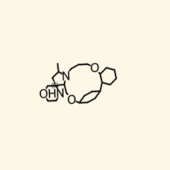 CC1C[C@@]2(COCCN2)C2COC3CCC(CC3)C3CCCCC3OCCCN12